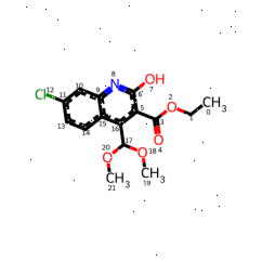 CCOC(=O)c1c(O)nc2cc(Cl)ccc2c1C(OC)OC